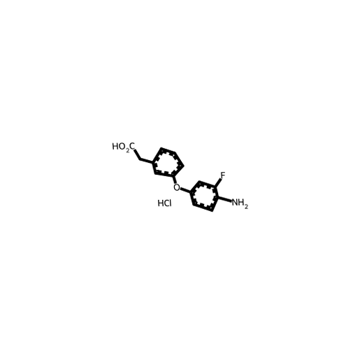 Cl.Nc1ccc(Oc2cccc(CC(=O)O)c2)cc1F